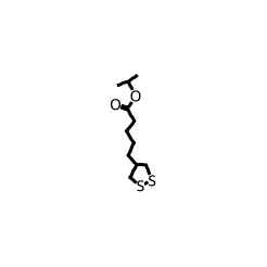 CC(C)OC(=O)CCCCC1CSSC1